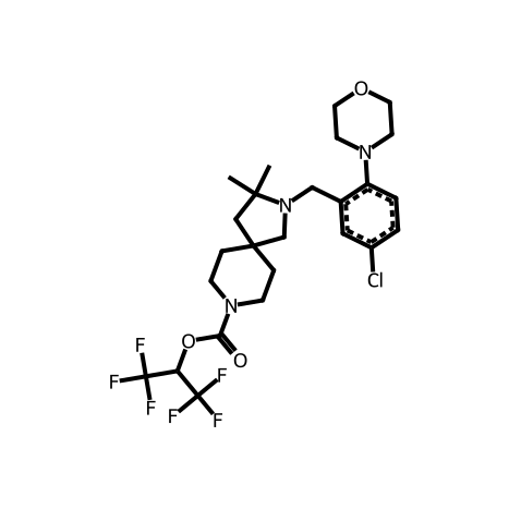 CC1(C)CC2(CCN(C(=O)OC(C(F)(F)F)C(F)(F)F)CC2)CN1Cc1cc(Cl)ccc1N1CCOCC1